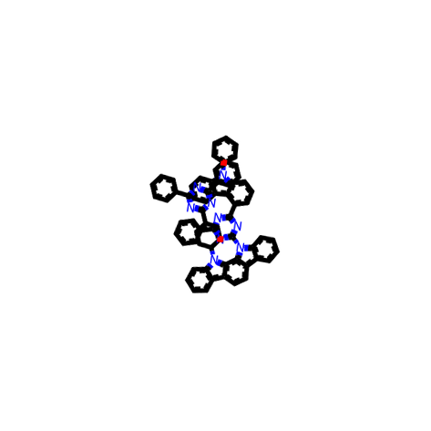 C1=CC(n2c3ccccc3c3ccc4c5ccccc5n(-c5nc(-c6ccccc6)nc(-c6cccc7c6c6ccccc6n7-c6ccccc6)n5)c4c32)CC=C1c1nc(-c2ccccc2)nc(-c2ccccc2)n1